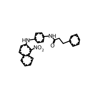 O=C(CCc1ccccc1)Nc1ccc(Nc2ccc3ccccc3c2[N+](=O)[O-])cc1